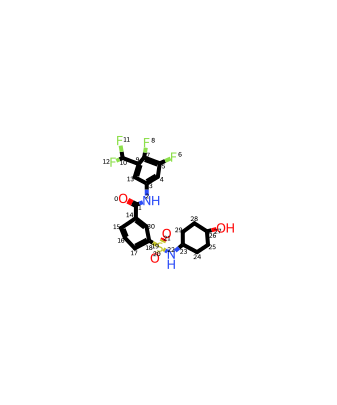 O=C(Nc1cc(F)c(F)c(C(F)F)c1)c1cccc(S(=O)(=O)NC2CCC(O)CC2)c1